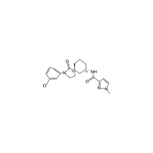 Cn1ccc(C(=O)N[C@H]2CCC[C@]3(CCN(c4cccc(Cl)c4)C3=O)C2)n1